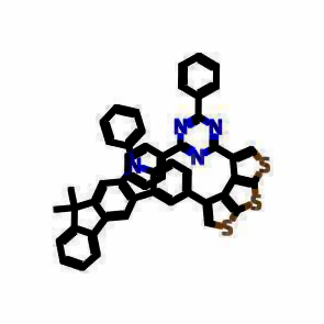 CC1(C)c2ccccc2-c2cc3c4cc(-c5csc6sc7scc(-c8nc(-c9ccccc9)nc(-c9ccccc9)n8)c7c56)ccc4n(-c4ccccc4)c3cc21